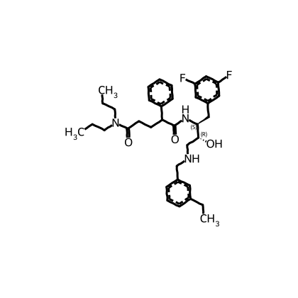 CCCN(CCC)C(=O)CCC(C(=O)N[C@@H](Cc1cc(F)cc(F)c1)[C@H](O)CNCc1cccc(CC)c1)c1ccccc1